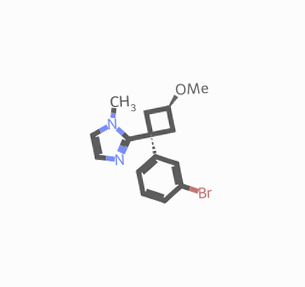 CO[C@H]1C[C@@](c2cccc(Br)c2)(c2nccn2C)C1